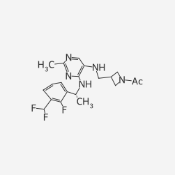 CC(=O)N1CC(CNc2cnc(C)nc2N[C@H](C)c2cccc(C(F)F)c2F)C1